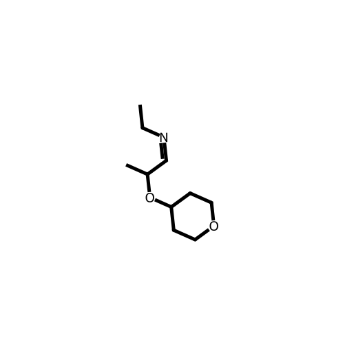 CC/N=C\C(C)OC1CCOCC1